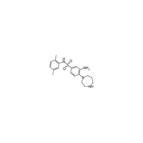 Cc1ccc(C)c(NS(=O)(=O)c2ccc(N3CCCNCC3)c(N)c2)c1